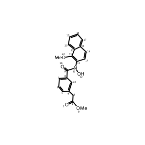 COC(=O)Cc1cccc(C(=O)N(O)c2ccc3ccccc3c2OC)c1